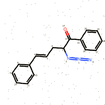 [N-]=[N+]=NC(C/C=C/c1ccccc1)C(=O)c1ccccc1